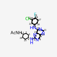 CC(=O)N[C@H]1CC[C@H](Nc2ncc3ncnc(Nc4ccc(F)c(Cl)c4)c3n2)CC1